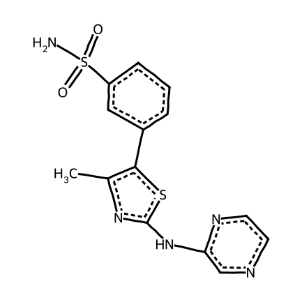 Cc1nc(Nc2cnccn2)sc1-c1cccc(S(N)(=O)=O)c1